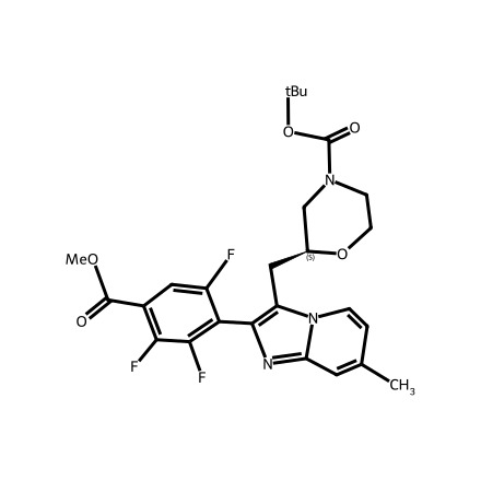 COC(=O)c1cc(F)c(-c2nc3cc(C)ccn3c2C[C@H]2CN(C(=O)OC(C)(C)C)CCO2)c(F)c1F